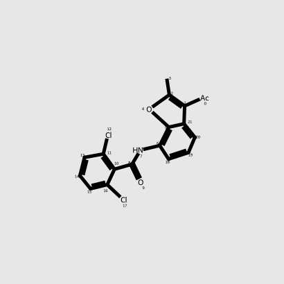 CC(=O)c1c(C)oc2c(NC(=O)c3c(Cl)cccc3Cl)cccc12